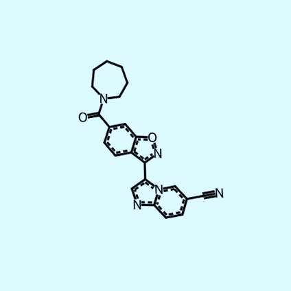 N#Cc1ccc2ncc(-c3noc4cc(C(=O)N5CCCCCC5)ccc34)n2c1